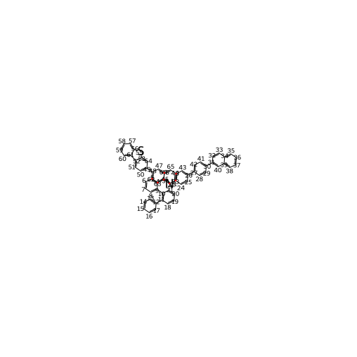 c1ccc(-c2ccccc2-c2c(-c3ccccc3)cccc2N(c2ccc(-c3ccc(-c4ccc5ccccc5c4)cc3)cc2)c2ccc(-c3ccc4c(c3)sc3ccccc34)cc2)cc1